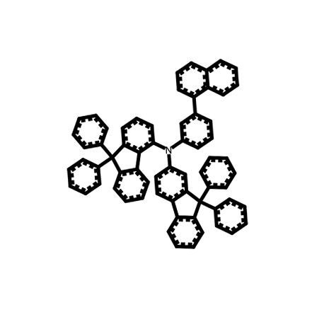 c1ccc(C2(c3ccccc3)c3ccccc3-c3ccc(N(c4cccc(-c5cccc6ccccc56)c4)c4cccc5c4-c4ccccc4C5(c4ccccc4)c4ccccc4)cc32)cc1